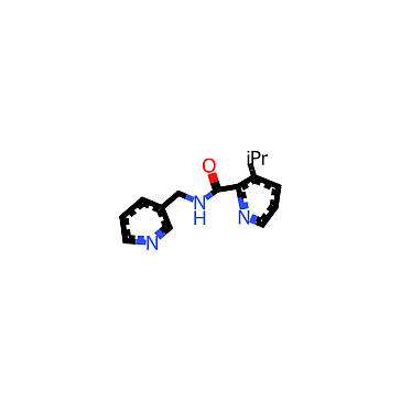 CC(C)c1cccnc1C(=O)NCc1cccnc1